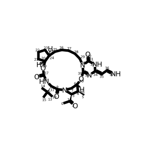 CC(=O)[C@@H]1[C@H](C)[C@@H]2CN1C(=O)[C@H](C(C)(C)C)NC(=O)O[C@@H]1CCC[C@H]1CCCCCN1C(=O)N/C(=C\C=N)N=C1O2